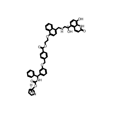 O=C(NC(c1ccccc1)c1cccc(OCc2ccc(C(=O)OCCOc3ccc(CNC[C@H](O)c4ccc(O)c5[nH]c(=O)ccc45)c4ccccc34)cc2)c1)O[C@H]1CN2CCC1CC2